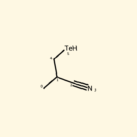 CC(C#N)C[TeH]